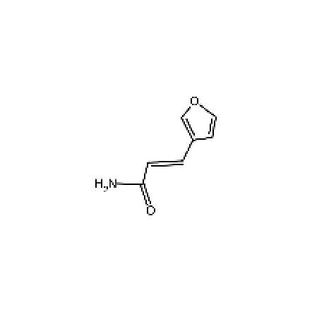 NC(=O)/C=C/c1ccoc1